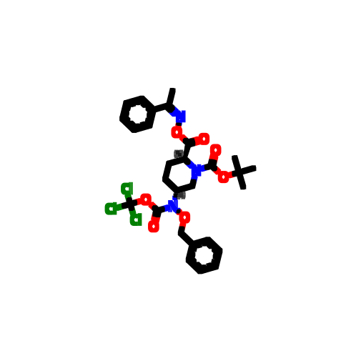 CC(=NOC(=O)[C@@H]1CC[C@@H](N(OCc2ccccc2)C(=O)OC(Cl)(Cl)Cl)CN1C(=O)OC(C)(C)C)c1ccccc1